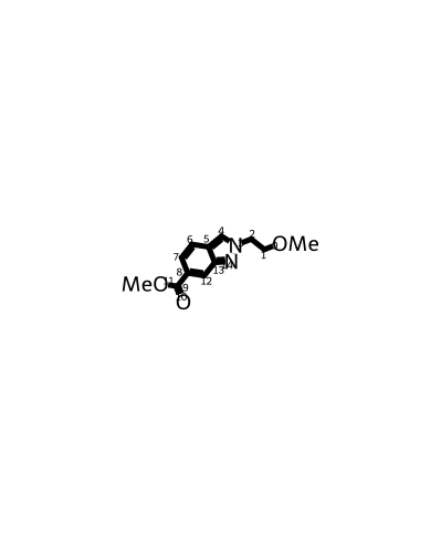 COCCn1cc2ccc(C(=O)OC)cc2n1